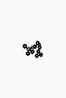 c1ccc(-c2nc(-c3ccccc3)c3c4ccccc4n4c5ccc(-c6cccc7c6-c6cc(-c8ccc9c%10ccccc%10c%10ccccc%10c9c8)ccc6C7)cc5nc4c3n2)cc1